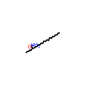 CCCC=CC(CCCCCCCCCCCCCCCCCCC)C(N)=O